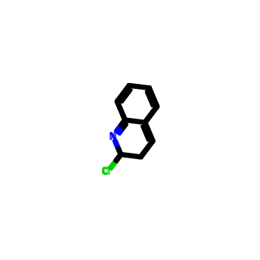 ClC1CC=c2ccccc2=N1